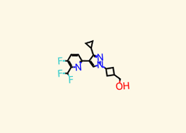 OCC1CC(n2cc(-c3ccc(F)c(C(F)F)n3)c(C3CC3)n2)C1